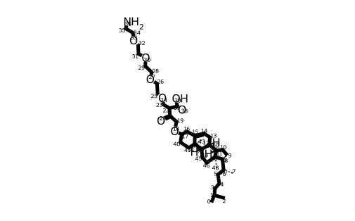 CC(C)CCC[C@@H](C)[C@H]1CC[C@H]2[C@@H]3CC=C4CC(OCC(=O)C(COCCOCCOCCOCCN)C(=O)O)CC[C@]4(C)[C@H]3CC[C@]12C